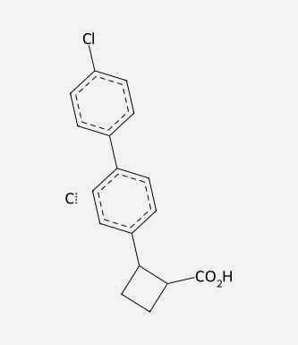 O=C(O)C1CCC1c1ccc(-c2ccc(Cl)cc2)cc1.[C]